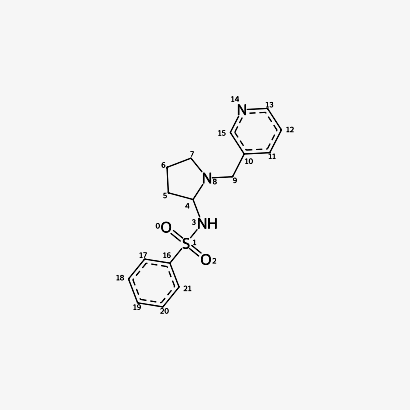 O=S(=O)(NC1CCCN1Cc1cccnc1)c1ccccc1